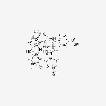 CC(C)Oc1ccc([C@H](Nc2cc(Cl)c3ncc(C#N)c(Nc4ccc(F)c(Cl)c4)c3c2)C2=CN(C3CCN(C(C)(C)C)CC3)NN2)cn1